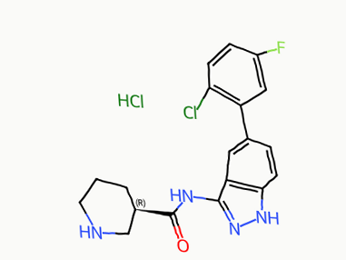 Cl.O=C(Nc1n[nH]c2ccc(-c3cc(F)ccc3Cl)cc12)[C@@H]1CCCNC1